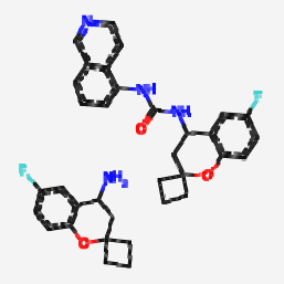 NC1CC2(CCC2)Oc2ccc(F)cc21.O=C(Nc1cccc2cnccc12)NC1CC2(CCC2)Oc2ccc(F)cc21